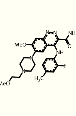 COCCN1CCN(c2cc3c(Nc4ccc(C)cc4F)c(C(N)=O)nnc3cc2OC)CC1